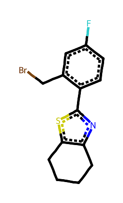 Fc1ccc(-c2nc3c(s2)CCCC3)c(CBr)c1